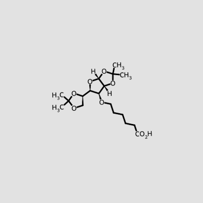 CC1(C)O[C@H]2O[C@H]([C@H]3COC(C)(C)O3)[C@H](OCCCCCC(=O)O)[C@H]2O1